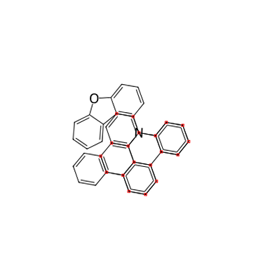 c1ccc(-c2ccccc2-c2c(-c3ccccc3)cccc2-c2ccccc2N(c2cccc3ccccc23)c2cccc3oc4ccccc4c23)cc1